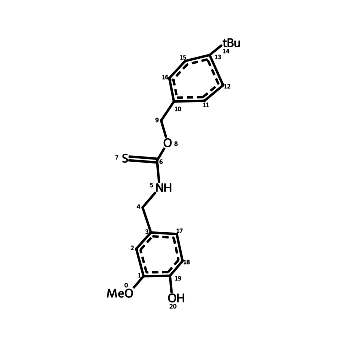 COc1cc(CNC(=S)OCc2ccc(C(C)(C)C)cc2)ccc1O